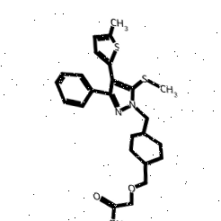 CSc1c(-c2ccc(C)s2)c(-c2ccccc2)nn1CC1CCC(COCC(=O)O)CC1